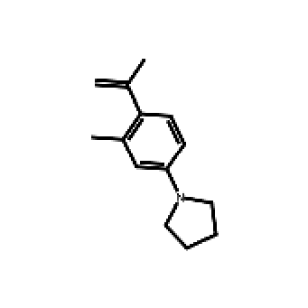 C=C(C)c1ccc(N2CCCC2)cc1C